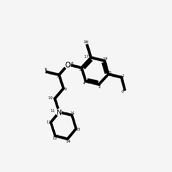 CCc1ccc(OC(C)CCN2CCCCC2)c(C)c1